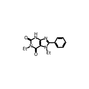 CCn1c(=O)[nH]c2nc(-c3ccccc3)n(CC)c2c1=O